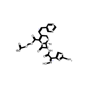 CC(C)(C)C(=O)OCOC(=O)C1=C(/C=C\c2cncnc2)CS[C@H]2[C@H](NC(=O)/C(=N\O)c3csc(N)n3)C(=O)N12